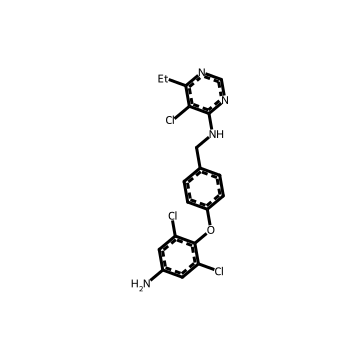 CCc1ncnc(NCc2ccc(Oc3c(Cl)cc(N)cc3Cl)cc2)c1Cl